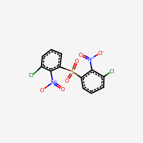 O=[N+]([O-])c1c(Cl)cccc1S(=O)(=O)c1cccc(Cl)c1[N+](=O)[O-]